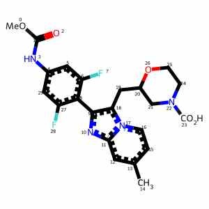 COC(=O)Nc1cc(F)c(-c2nc3cc(C)ccn3c2CC2CN(C(=O)O)CCO2)c(F)c1